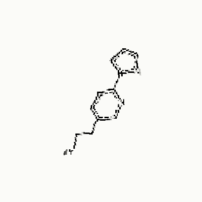 CC(C)CCc1ccc(-n2cccn2)nc1